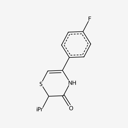 CC(C)C1SC=C(c2ccc(F)cc2)NC1=O